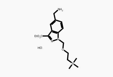 CCOC(=O)c1nn(COCC[Si](C)(C)C)c2ccc(CN)cc12.Cl